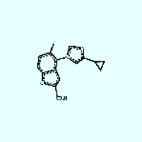 O=C(O)c1cc2c(-n3cnc(C4CC4)c3)c(F)ccc2o1